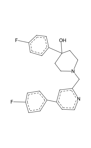 OC1(c2ccc(F)cc2)CCN(Cc2cc(-c3ccc(F)cc3)ccn2)CC1